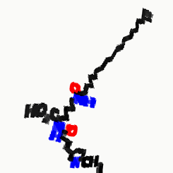 CCC=CCC=CCC=CCC=CCC=CCCCC(=O)NCCCCC(NC(=O)CC=Cc1ccc(C)nc1)C(=O)O